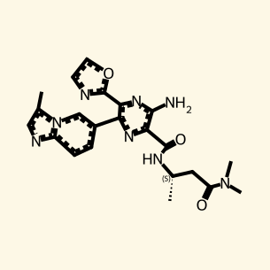 Cc1cnc2ccc(-c3nc(C(=O)N[C@@H](C)CC(=O)N(C)C)c(N)nc3-c3ncco3)cn12